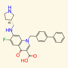 O=C(O)c1cn(Cc2ccc(-c3ccccc3)cc2)c2cc(NC[C@@H]3CCNC3)c(F)cc2c1=O